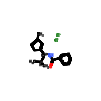 CC1=CC[C]([Hf+2]([NH]C(=O)c2ccccc2)[SiH](C)C)=C1.[Cl-].[Cl-]